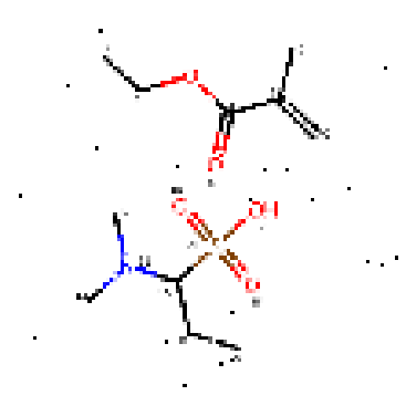 C=C(C)C(=O)OCC.CCC(N(C)C)S(=O)(=O)O